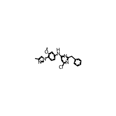 COc1cc(Nc2cc(Cl)nc(Cc3ccccc3)n2)ccc1-n1cnc(C)c1